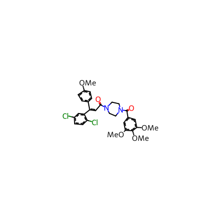 COc1ccc(/C(=C\C(=O)N2CCN(C(=O)c3cc(OC)c(OC)c(OC)c3)CC2)c2cc(Cl)ccc2Cl)cc1